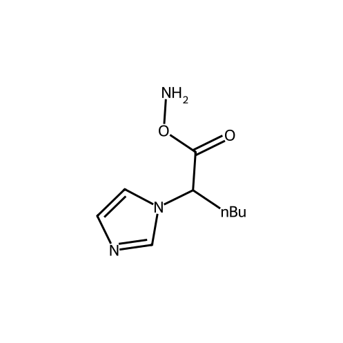 CCCCC(C(=O)ON)n1ccnc1